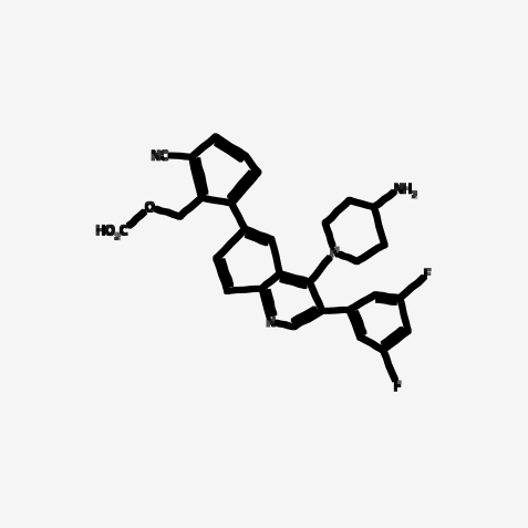 N#Cc1cccc(-c2ccc3ncc(-c4cc(F)cc(F)c4)c(N4CCC(N)CC4)c3c2)c1COC(=O)O